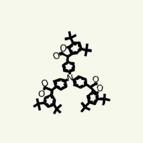 CC(C)(C)c1cc2c(c(C(C)(C)C)c1)OC(=O)C2c1ccc(N(c2ccc(C3C(=O)Oc4c3cc(C(C)(C)C)cc4C(C)(C)C)cc2)c2ccc(C3C(=O)Oc4c3cc(C(C)(C)C)cc4C(C)(C)C)cc2)cc1